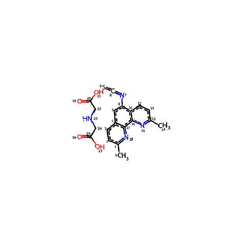 Cc1ccc2cc(N=C=S)c3ccc(C)nc3c2n1.O=C(O)CNCC(=O)O